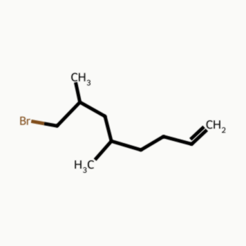 C=CCCC(C)CC(C)CBr